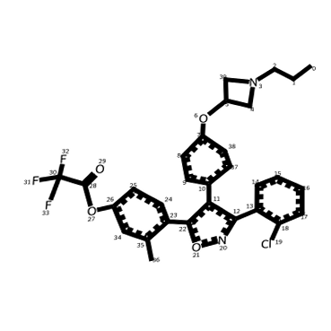 CCCN1CC(Oc2ccc(-c3c(-c4ccccc4Cl)noc3-c3ccc(OC(=O)C(F)(F)F)cc3C)cc2)C1